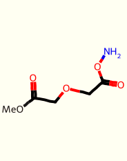 COC(=O)COCC(=O)ON